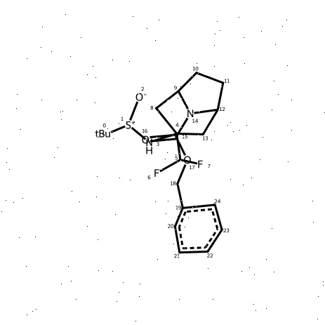 CC(C)(C)[S+]([O-])NC1(C(F)F)CC2CCC(C1)N2C(=O)OCc1ccccc1